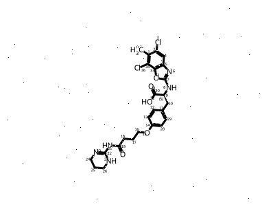 Cc1c(Cl)cc2nc(N[C@@H](Cc3ccc(OCCCC(=O)NC4=NCCCN4)cc3)C(=O)O)oc2c1Cl